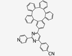 N#Cc1ccc(-c2cc(-c3ccc4c5ccccc5c5ccccc5c5ccccc5c5ccccc5c4c3)nc(-c3ccncc3)n2)cc1